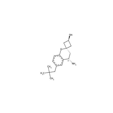 CC(C)(C)Cc1ccc2c(c1)[C@@H](N)C[C@]1(C[C@H](O)C1)O2